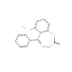 COc1cccc2c1C(c1ccccc1)=NCC(=O)N2